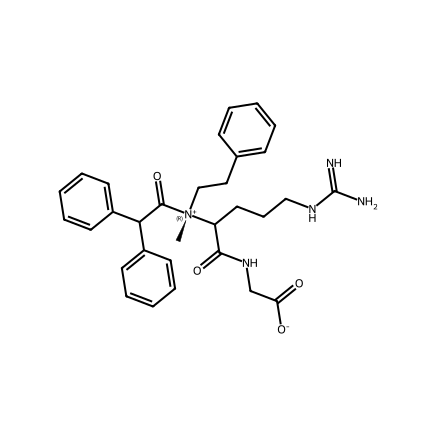 C[N@+](CCc1ccccc1)(C(=O)C(c1ccccc1)c1ccccc1)C(CCCNC(=N)N)C(=O)NCC(=O)[O-]